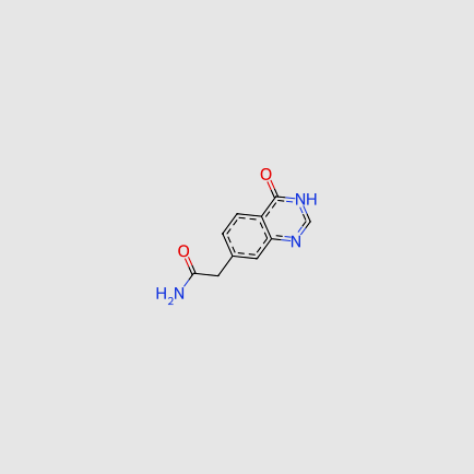 NC(=O)Cc1ccc2c(=O)[nH]cnc2c1